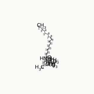 CCCCCCCC/C=C\CCCCCCCC(=O)NC(CCC)[N+](C)(C)C(C)(C)C(=O)[O-]